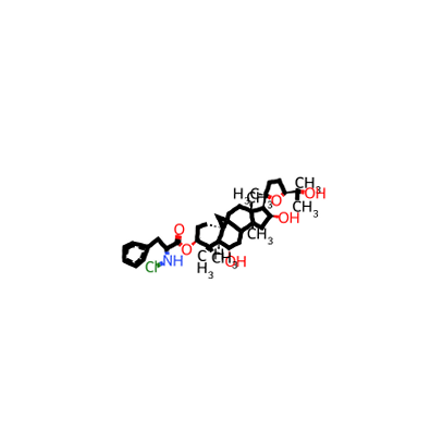 CC(C)(O)[C@@H]1CC[C@](C)([C@H]2[C@@H](O)C[C@@]3(C)C4C[C@H](O)[C@H]5C(C)(C)[C@@H](OC(=O)C(Cc6ccccc6)NCl)CC[C@@]56CC46CC[C@]23C)O1